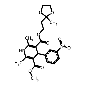 COC(=O)C1=C(C)NC(C)=C(C(=O)OCCC2(C)OCCO2)C1c1cccc([N+](=O)[O-])c1